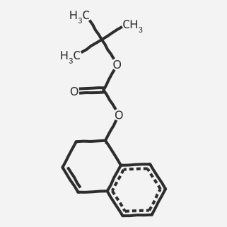 CC(C)(C)OC(=O)O[C]1CC=Cc2ccccc21